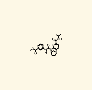 COC(=O)c1ccnc(NC(=O)N2c3nc(C(=O)NC(C)C)ccc3N3CCC2C3)c1